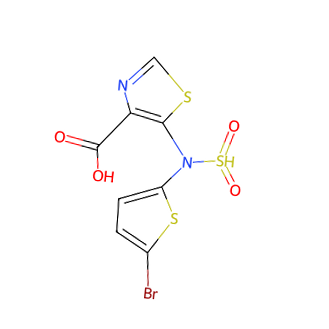 O=C(O)c1ncsc1N(c1ccc(Br)s1)[SH](=O)=O